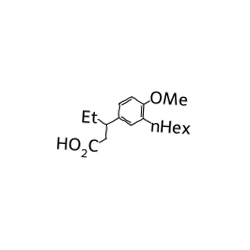 CCCCCCc1cc(C(CC)CC(=O)O)ccc1OC